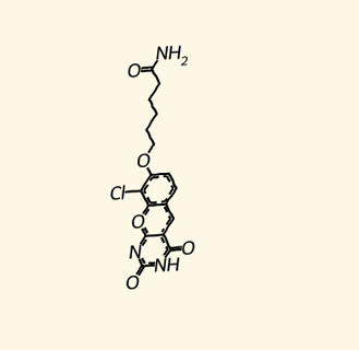 NC(=O)CCCCCOc1ccc2cc3c(=O)[nH]c(=O)nc-3oc2c1Cl